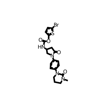 CN1CCCN(c2ccc(N3CC(NC(=O)Oc4ccc(Br)s4)CC3=O)cc2)C1=O